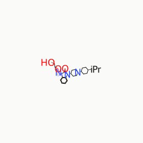 CC(C)[C@H]1CC[C@@H](N2CCC(N3C(=O)/C(=N\OCCO)c4ccccc43)CC2)CC1